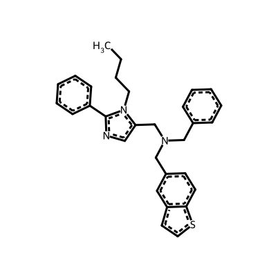 CCCCn1c(CN(Cc2ccccc2)Cc2ccc3sccc3c2)cnc1-c1ccccc1